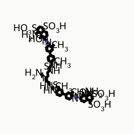 Cc1cc(-c2ccc(NC(=S)NCCN(CCN)CCNC(=S)Nc3ccc(-c4ccc(/N=N/c5ccc6c(S(=O)(=O)O)cc(S(=O)(=O)O)c(N)c6c5O)c(C)c4)cc3C)c(C)c2)ccc1/N=N/c1ccc2c(S(=O)(=O)O)cc(S(=O)(=O)O)c(N)c2c1O